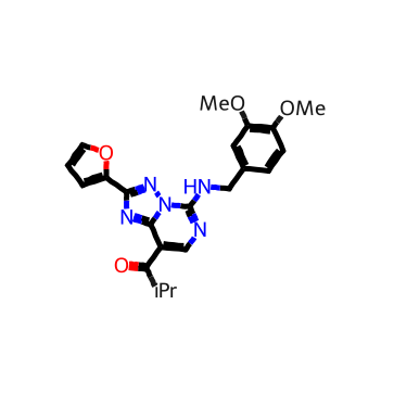 COc1ccc(CNc2ncc(C(=O)C(C)C)c3nc(-c4ccco4)nn23)cc1OC